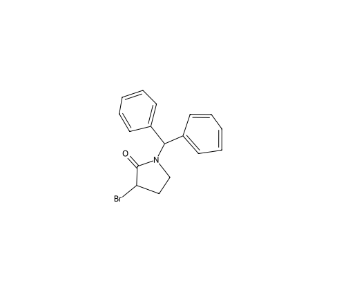 O=C1C(Br)CCN1C(c1ccccc1)c1ccccc1